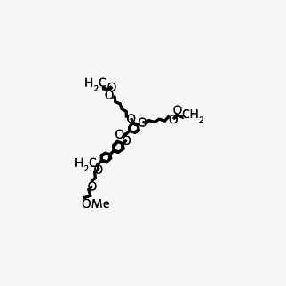 C=CC(=O)OCCCCCCOc1ccc(C(=O)Oc2ccc(-c3ccc(C(=C)OCCCOCCCOC)cc3)cc2)cc1OCCCCCCOC(=O)C=C